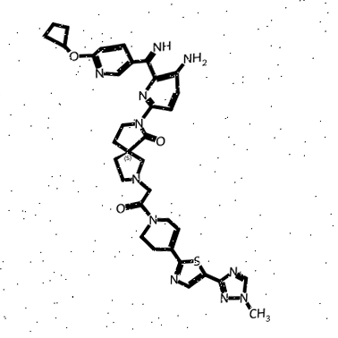 Cn1cnc(-c2cnc(C3=CCN(C(=O)CN4CC[C@]5(CCN(c6ccc(N)c(C(=N)c7ccc(OC8CCC8)nc7)n6)C5=O)C4)CC3)s2)n1